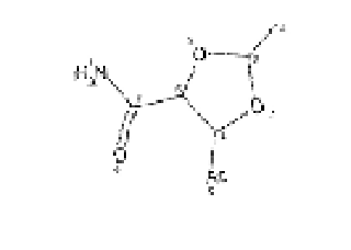 CC(=O)C1OC(C)OC1C(N)=O